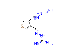 N=CN/N=C/c1cscc1/C=N/NC(=N)N